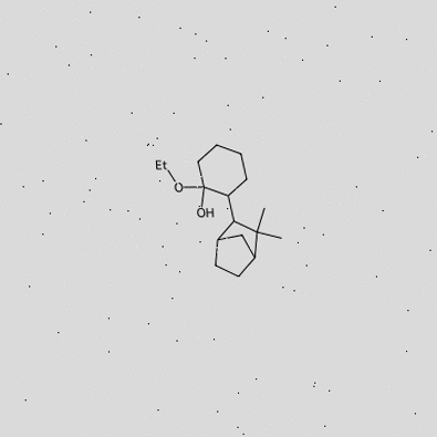 CCOC1(O)CCCCC1C1C2CCC(C2)C1(C)C